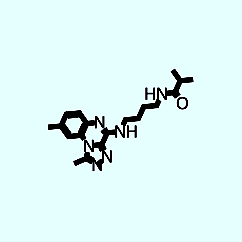 Cc1ccc2nc(NCCCCNC(=O)C(C)C)c3nnc(C)n3c2c1